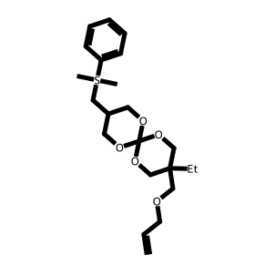 C=CCOCC1(CC)COC2(OCC(CS(C)(C)c3ccccc3)CO2)OC1